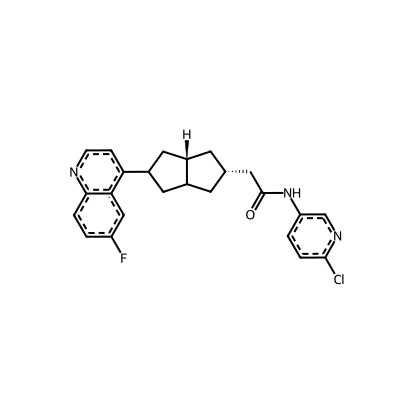 O=C(C[C@@H]1CC2CC(c3ccnc4ccc(F)cc34)C[C@@H]2C1)Nc1ccc(Cl)nc1